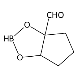 O=CC12CCCC1OBO2